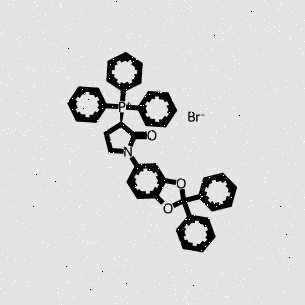 O=C1[C@H]([P+](c2ccccc2)(c2ccccc2)c2ccccc2)CCN1c1ccc2c(c1)OC(c1ccccc1)(c1ccccc1)O2.[Br-]